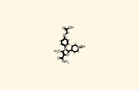 CC1=C(C(N)=O)SC(C2CCNCC2)N1c1ccc(OCC(=O)O)cc1.Cl